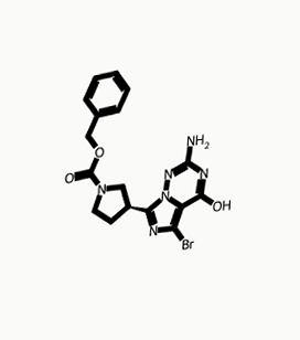 Nc1nc(O)c2c(Br)nc([C@H]3CCN(C(=O)OCc4ccccc4)C3)n2n1